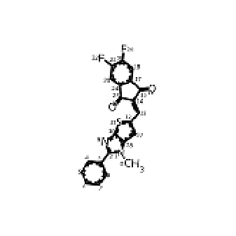 Cn1c(-c2ccccc2)nc2sc(C=C3C(=O)c4cc(F)c(F)cc4C3=O)cc21